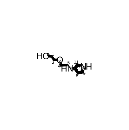 OCCOCCNc1cc[nH]c1